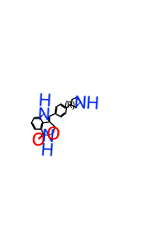 O=C1NOCc2c(-c3ccc([C@H]4CCNC4)cc3)[nH]c3cccc1c23